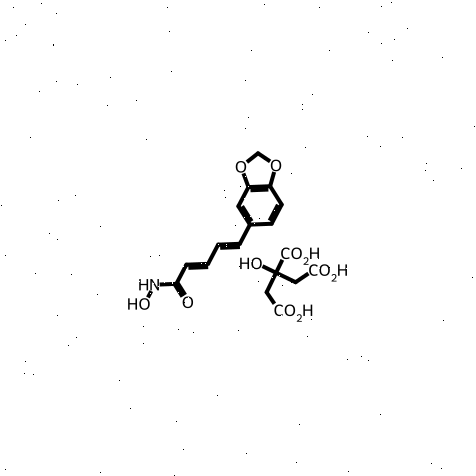 O=C(C=CC=Cc1ccc2c(c1)OCO2)NO.O=C(O)CC(O)(CC(=O)O)C(=O)O